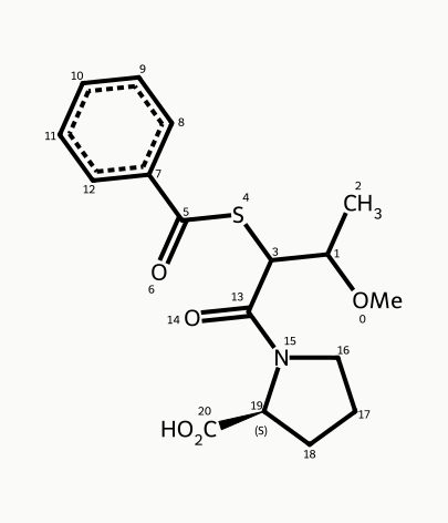 COC(C)C(SC(=O)c1ccccc1)C(=O)N1CCC[C@H]1C(=O)O